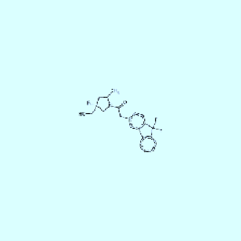 CC1C[C@](F)(CO)CN1C(=O)Cc1ccc2c(c1)-c1ccccc1C2(F)F